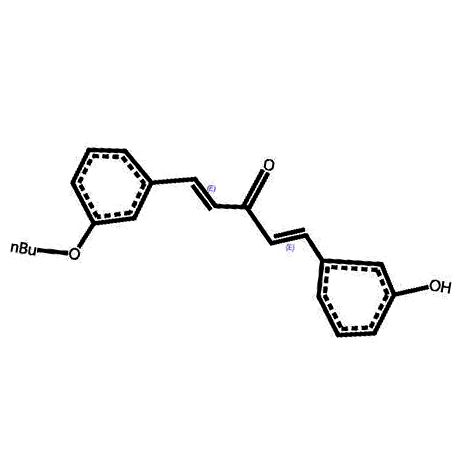 CCCCOc1cccc(/C=C/C(=O)/C=C/c2cccc(O)c2)c1